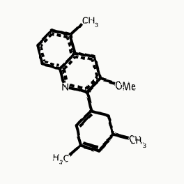 COc1cc2c(C)cccc2nc1C1=CC(C)=CC(C)C1